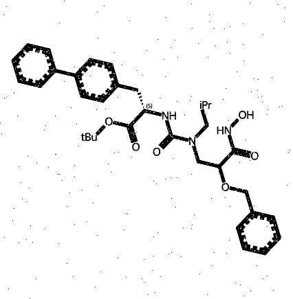 CC(C)CN(CC(OCc1ccccc1)C(=O)NO)C(=O)N[C@@H](Cc1ccc(-c2ccccc2)cc1)C(=O)OC(C)(C)C